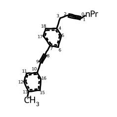 CCCC#CCc1ccc(C#Cc2ccc(C)cc2)cc1